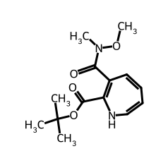 CON(C)C(=O)C1=C(C(=O)OC(C)(C)C)NC=CC=C1